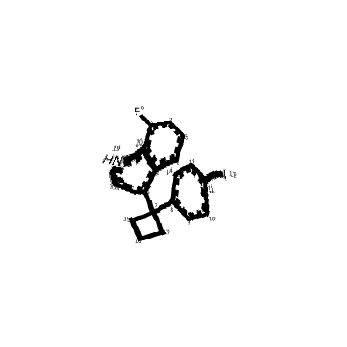 Fc1cccc2c(C3(c4ccc(I)cc4)CCC3)c[nH]c12